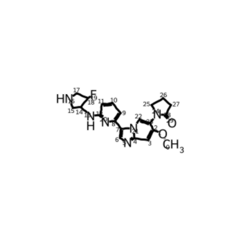 COc1cc2ncc(-c3cccc(NC4CNCC4F)n3)n2cc1N1CCCC1=O